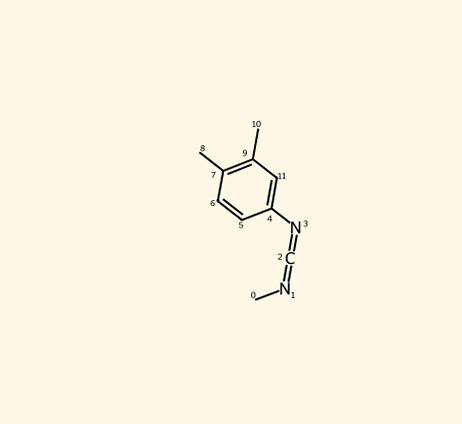 CN=C=Nc1ccc(C)c(C)c1